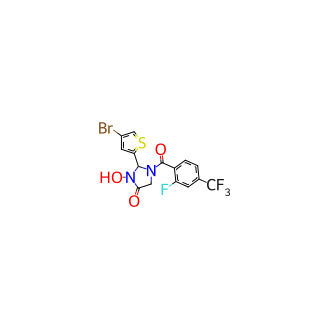 O=C1CN(C(=O)c2ccc(C(F)(F)F)cc2F)C(c2cc(Br)cs2)N1O